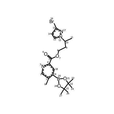 Cc1cnc(C(=O)OCCC(C)n2ccc(Br)n2)cc1B1OC(C)(C)C(C)(C)O1